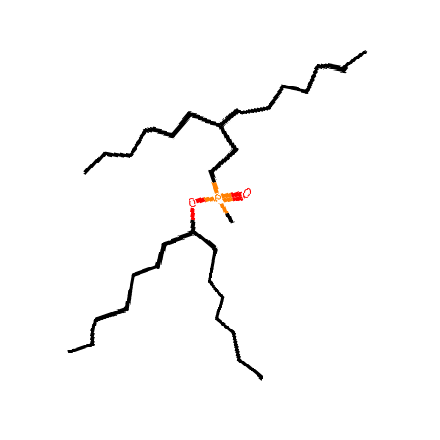 CCCCCCCC(CCCCCC)CCP(C)(=O)OC(CCCCCCC)CCCCCCC